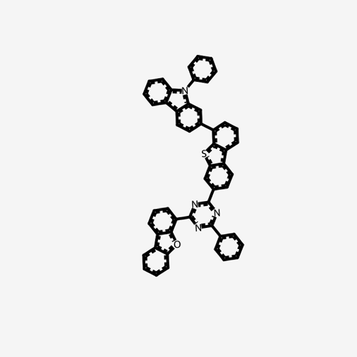 c1ccc(-c2nc(-c3ccc4c(c3)sc3c(-c5ccc6c7ccccc7n(-c7ccccc7)c6c5)cccc34)nc(-c3cccc4c3oc3ccccc34)n2)cc1